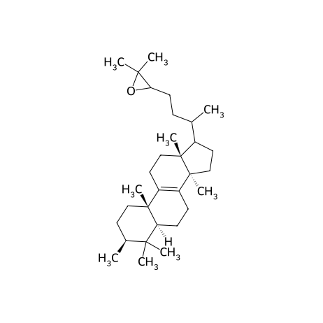 CC(CCC1OC1(C)C)C1CC[C@@]2(C)C3=C(CC[C@]12C)[C@@]1(C)CC[C@H](C)C(C)(C)[C@@H]1CC3